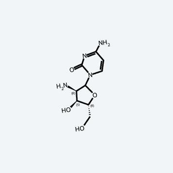 Nc1ccn(C2O[C@H](CO)[C@@H](O)[C@H]2N)c(=O)n1